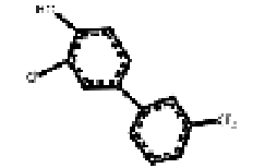 Oc1ccc(-c2cccc(C(F)(F)F)c2)cc1Cl